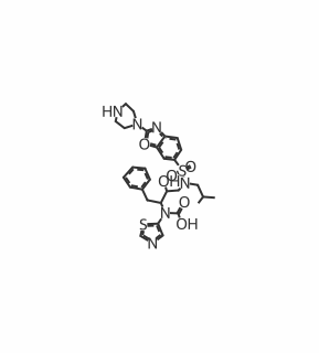 CC(C)CN(CC(O)C(Cc1ccccc1)N(C(=O)O)c1cncs1)S(=O)(=O)c1ccc2nc(N3CCNCC3)oc2c1